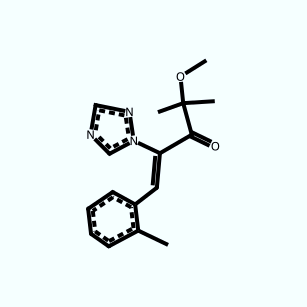 COC(C)(C)C(=O)/C(=C/c1ccccc1C)n1cncn1